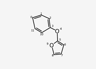 c1ccc(Oc2ccco2)cc1